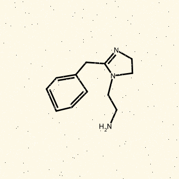 NCCN1CCN=C1Cc1ccccc1